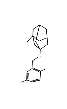 CC12CC3CC(C1)CC(NCc1cc(F)ccc1F)(C3)C2